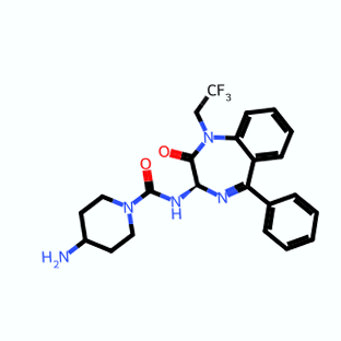 NC1CCN(C(=O)N[C@@H]2N=C(c3ccccc3)c3ccccc3N(CC(F)(F)F)C2=O)CC1